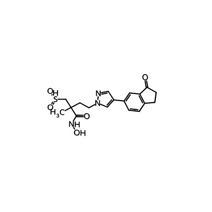 CC(CCn1cc(-c2ccc3c(c2)C(=O)CC3)cn1)(C[SH](=O)=O)C(=O)NO